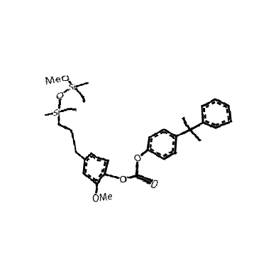 COc1cc(CCC[Si](C)(C)O[Si](C)(C)OC)ccc1OC(=O)Oc1ccc(C(C)(C)c2ccccc2)cc1